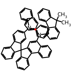 CC1(C)c2ccccc2-c2c(N(c3ccccc3)c3cc4c(c5ccccc35)-c3ccccc3C43c4ccccc4-c4ccc(N(c5ccccc5)c5ccccc5)cc43)cccc21